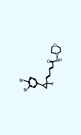 O=C(/C=C/C=C/C1(F)CC1c1ccc(Br)c(Br)c1)NN1CCOCC1